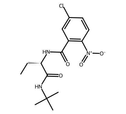 CC[C@H](NC(=O)c1cc(Cl)ccc1[N+](=O)[O-])C(=O)NC(C)(C)C